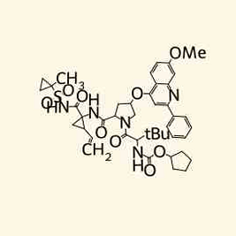 C=CC1CC1(NC(=O)C1CC(Oc2cc(-c3ccccc3)nc3cc(OC)ccc23)CN1C(=O)C(NC(=O)OC1CCCC1)C(C)(C)C)C(=O)NS(=O)(=O)C1(C)CC1